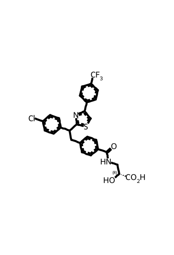 O=C(NC[C@@H](O)C(=O)O)c1ccc(CC(c2ccc(Cl)cc2)c2nc(-c3ccc(C(F)(F)F)cc3)cs2)cc1